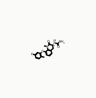 Cc1ccc(F)cc1Oc1cccc2c1N(C)C(=O)[C@H](NC(N)=O)C2